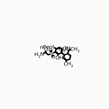 C=C(C)C1CCC(C)=CC1c1c(O)cc(CCCCC)c(S(=O)(=O)CC(N)=O)c1O